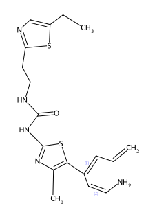 C=C/C=C(\C=C/N)c1sc(NC(=O)NCCc2ncc(CC)s2)nc1C